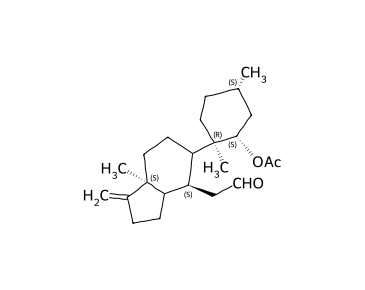 C=C1CCC2[C@H](CC=O)C([C@@]3(C)CC[C@H](C)C[C@@H]3OC(C)=O)CC[C@]12C